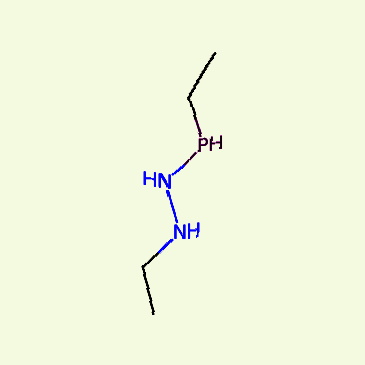 CCNNPCC